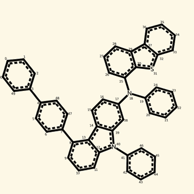 c1ccc(-c2ccc(-c3cccc4c3c3ccc(N(c5ccccc5)c5cccc6c5sc5ccccc56)cc3n4-c3ccccc3)cc2)cc1